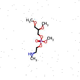 CNCCOP(=O)(OC)OCC(COC)OC